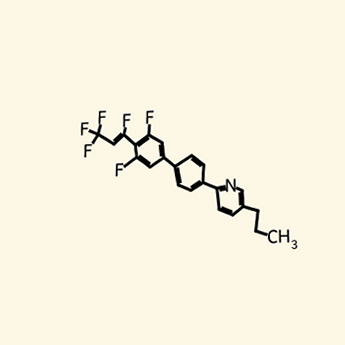 CCCc1ccc(-c2ccc(-c3cc(F)c(/C(F)=C/C(F)(F)F)c(F)c3)cc2)nc1